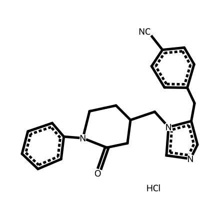 Cl.N#Cc1ccc(Cc2cncn2CC2CCN(c3ccccc3)C(=O)C2)cc1